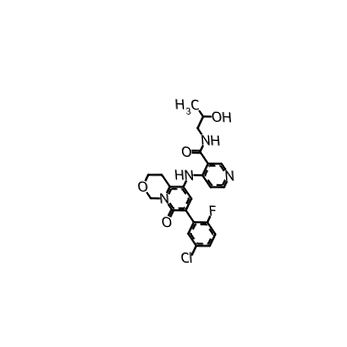 CC(O)CNC(=O)c1cnccc1Nc1cc(-c2cc(Cl)ccc2F)c(=O)n2c1CCOC2